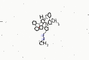 C=C/C=C\C=C/Cc1ccc(N(c2ccc(C)c(-c3ccccc3C)c2)c2cccc3c2-c2ccccc2C3c2ccccc2-c2ccccc2)cc1